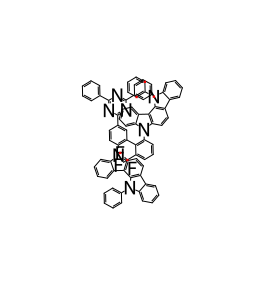 FC(F)(F)c1cccc(-n2c3ccccc3c3c2ccc2c4ccccc4n(-c4ccccc4)c23)c1-c1cc(-c2nc(-c3ccccc3)nc(-c3ccccc3)n2)ccc1-n1c2ccccc2c2c1ccc1c3ccccc3n(-c3ccccc3)c12